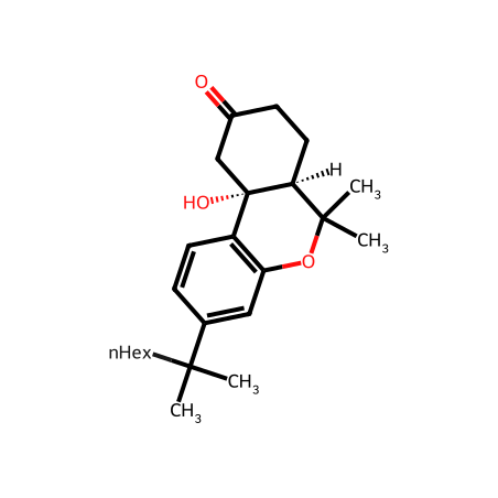 CCCCCCC(C)(C)c1ccc2c(c1)OC(C)(C)[C@@H]1CCC(=O)C[C@]21O